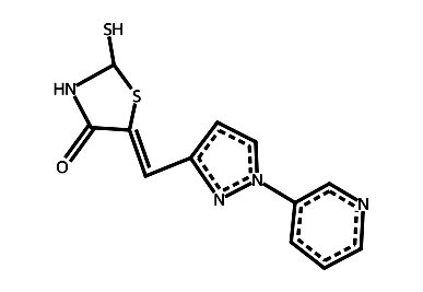 O=C1NC(S)S/C1=C\c1ccn(-c2cccnc2)n1